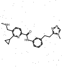 CNCc1ccc(C(=O)Nc2cccc(CCc3nncn3C)c2)nc1C1CC1